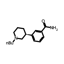 CCCCN1CCC[C@@H](c2cccc(C(N)=O)c2)C1